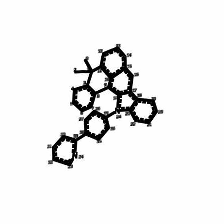 CC1(C)c2ccccc2-c2c3c1cccc3cc1c3ccccc3n(-c3ccc(-c4ccccn4)cc3)c21